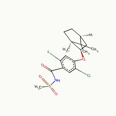 CC1(C)[C@H]2CC[C@]1(C)[C@H](Oc1cc(F)c(C(=O)NS(C)(=O)=O)cc1Cl)C2